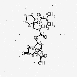 C=C(C)C(=O)OC1(CC(C)C(=O)OC2C3CC4C2OC(=O)C4C3C(=O)O)CCCCC1